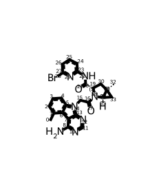 Cc1cccc2c1c1c(N)ncnc1n2CC(=O)N1[C@H](C(=O)Nc2cccc(Br)n2)C[C@@]2(C)C[C@@H]12